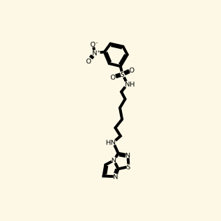 O=[N+]([O-])c1cccc(S(=O)(=O)NCCCCCCNc2nsc3nccn23)c1